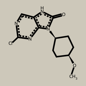 CO[C@H]1CC[C@@H](n2c(=O)[nH]c3cnc(Cl)nc32)CC1